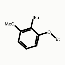 CCOc1cccc(OC)c1C(C)(C)C